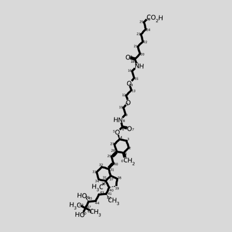 C=C1CC[C@H](OC(=O)NCCOCCOCCNC(=O)CCCCCCC(=O)O)C/C1=C/C=C1\CCC[C@@]2(C)C1CC[C@@H]2[C@H](C)CC[C@@H](O)C(C)(C)O